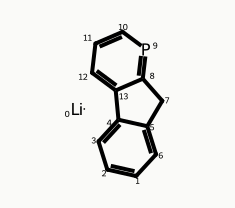 [Li].c1ccc2c(c1)Cc1pcccc1-2